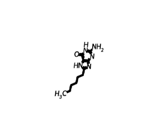 CCCCCCc1nc2nc(N)[nH]c(=O)c2[nH]1